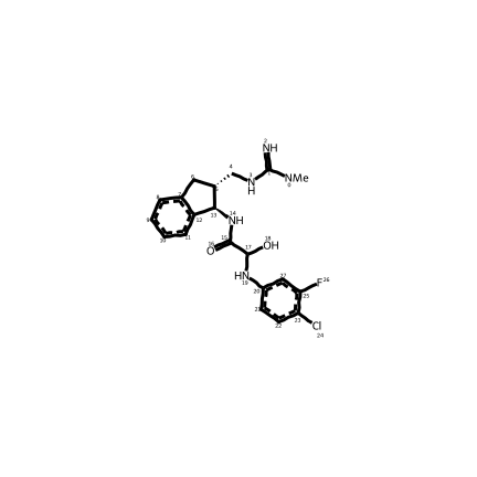 CNC(=N)NC[C@H]1Cc2ccccc2[C@@H]1NC(=O)C(O)Nc1ccc(Cl)c(F)c1